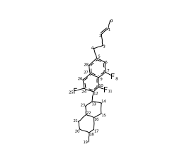 C/C=C/CCc1cc(F)c2c(F)c(C3CCC4CC(C)CCC4C3)c(F)cc2c1